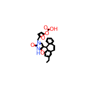 CCc1ccc2c(c1)C=Cc1ccccc1C2c1cn(Cc2ccc(OC(=O)O)o2)c(=O)[nH]c1=O